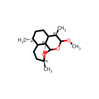 COC1OC2O[C@@]3(C)CCC4[C@H](C)CCC([C@H]1C)[C@@]24OO3